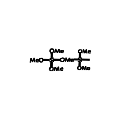 CO[Si](C)(C)OC.CO[Si](OC)(OC)OC